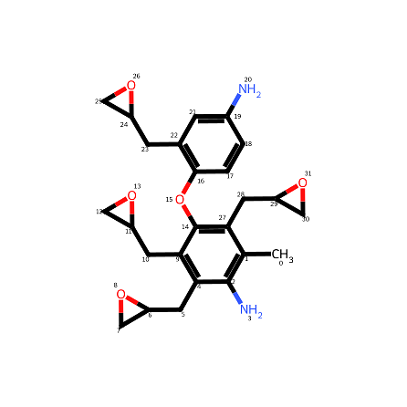 Cc1c(N)c(CC2CO2)c(CC2CO2)c(Oc2ccc(N)cc2CC2CO2)c1CC1CO1